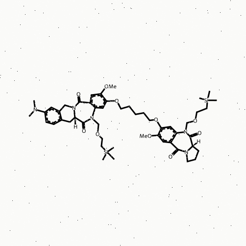 COc1cc2c(cc1OCCCCCOc1cc3c(cc1OC)C(=O)N1Cc4cc(N(C)C)ccc4C[C@H]1C(=O)N3COCC[Si](C)(C)C)N(COCC[Si](C)(C)C)C(=O)[C@@H]1CCCN1C2=O